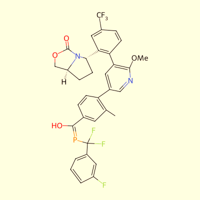 COc1ncc(-c2ccc(/C(O)=P\C(F)(F)c3cccc(F)c3)cc2C)cc1-c1ccc(C(F)(F)F)cc1[C@@H]1CC[C@H]2COC(=O)N21